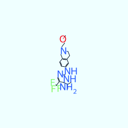 COCCN1CCc2cc(NC3=NC=C(C(F)(F)F)C(N)(C(C)C)N3)ccc2C1